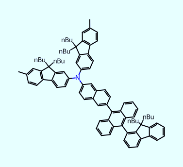 CCCCC1(CCCC)c2cc(C)ccc2-c2ccc(N(c3ccc4c(c3)C(CCCC)(CCCC)c3cc(C)ccc3-4)c3ccc4cc(-c5c6ccccc6c(-c6cccc7c6C(CCCC)(CCCC)c6ccccc6-7)c6ccccc56)ccc4c3)cc21